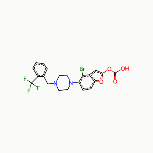 O=C(O)Oc1cc2c(Br)c(N3CCN(Cc4ccccc4C(F)(F)F)CC3)ccc2o1